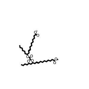 CCCCCCC(C/C=C/CCCCCCCC(=O)OC)OC(=O)C(=O)OC(C/C=C/CCCCCCCC(=O)OC)CCCCCC